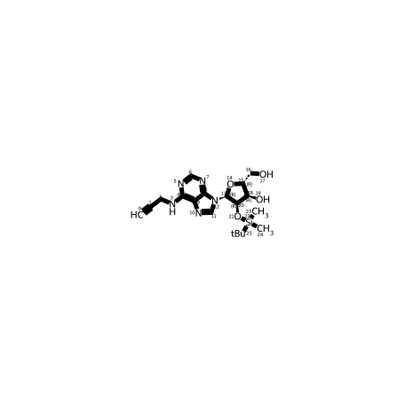 C#CCNc1ncnc2c1ncn2[C@@H]1O[C@H](CO)[C@@H](O)[C@H]1O[Si](C)(C)C(C)(C)C